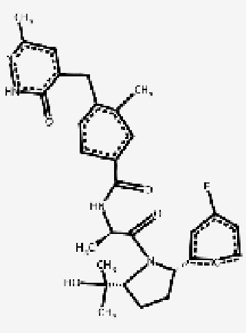 Cc1cc(Cc2ccc(C(=O)N[C@H](C)C(=O)N3[C@H](c4cccc(F)c4)CC[C@@H]3C(C)(C)O)cc2C)c(=O)[nH]n1